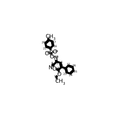 CCOC(=O)C(=CC(C#N)=NOS(=O)(=O)c1ccc(C)cc1)c1ccccc1